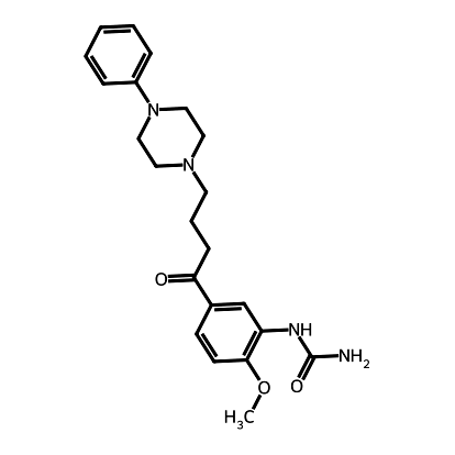 COc1ccc(C(=O)CCCN2CCN(c3ccccc3)CC2)cc1NC(N)=O